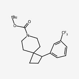 CC(C)(C)OC(=O)N1CCC2(CCC2c2cccc(C(F)(F)F)c2)CC1